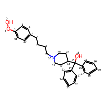 OOc1ccc(CCCCN2CCC(C(O)(c3ccccc3)c3ccccc3)CC2)cc1